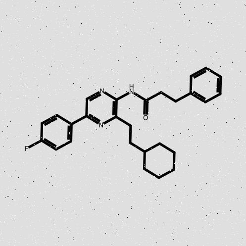 O=C(CCc1ccccc1)Nc1ncc(-c2ccc(F)cc2)nc1CCC1CCCCC1